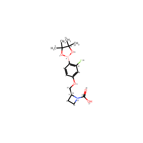 CC1(C)OB(c2ccc(OC[C@@H]3CCN3C(=O)O)cc2F)OC1(C)C